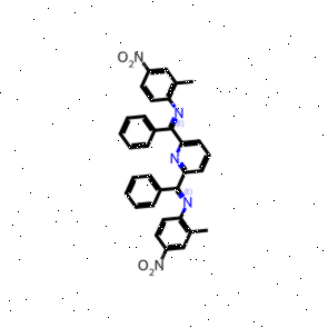 Cc1cc([N+](=O)[O-])ccc1/N=C(\c1ccccc1)c1cccc(/C(=N/c2ccc([N+](=O)[O-])cc2C)c2ccccc2)n1